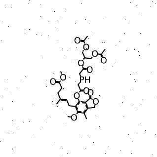 COC(=O)CC/C(C)=C/Cc1c(OC)c(C)c2c(c1OC(=O)CPCC(=O)OC(COC(C)=O)COC(C)=O)C(=O)OC2